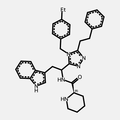 CCc1ccc(Cn2c(CCc3ccccc3)nnc2C(Cc2c[nH]c3ccccc23)NC(=O)[C@H]2CCCCN2)cc1